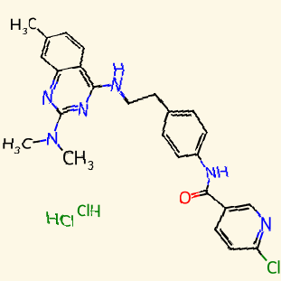 Cc1ccc2c(NCCc3ccc(NC(=O)c4ccc(Cl)nc4)cc3)nc(N(C)C)nc2c1.Cl.Cl